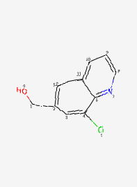 OCc1cc(Cl)c2ncccc2c1